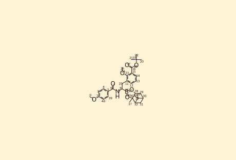 COc1ccc(C(=O)NC(Cc2cccc(C(=O)OC(C)(C)C)c2OC)B2OC3CC4CC(C4(C)C)C3(C)O2)cc1